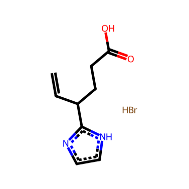 Br.C=CC(CCC(=O)O)c1ncc[nH]1